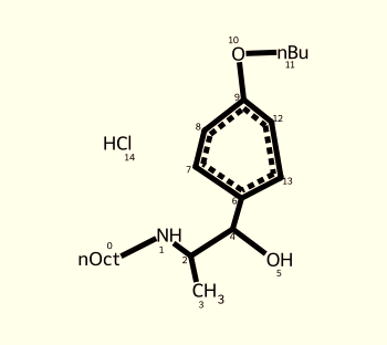 CCCCCCCCNC(C)C(O)c1ccc(OCCCC)cc1.Cl